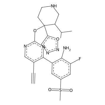 C#Cc1cnc(OC2(c3cnno3)CCNCC2C(C)C)nc1-c1cc(S(C)(=O)=O)cc(F)c1N